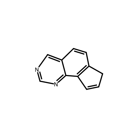 C1=Cc2c(ccc3cncnc23)C1